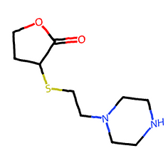 O=C1OCCC1SCCN1CCNCC1